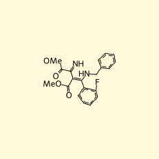 COC(=O)C(=N)/C(C(=O)OC)=C(\NCc1ccccc1)c1ccccc1F